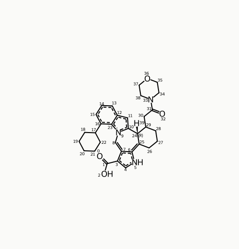 O=C(O)c1c[nH]c2c1=Cn1c(cc3cccc(C4CCCCC4)c31)[C@H]1C=2CCCC1CC(=O)N1CCOCC1